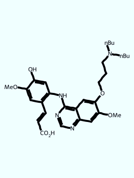 CCCCN(CCCC)CCCOc1cc2c(Nc3cc(O)c(OC)cc3/C=C/C(=O)O)ncnc2cc1OC